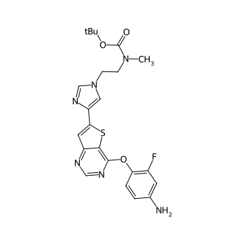 CN(CCn1cnc(-c2cc3ncnc(Oc4ccc(N)cc4F)c3s2)c1)C(=O)OC(C)(C)C